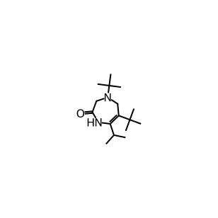 CC(C)C1=C(C(C)(C)C)CN(C(C)(C)C)CC(=O)N1